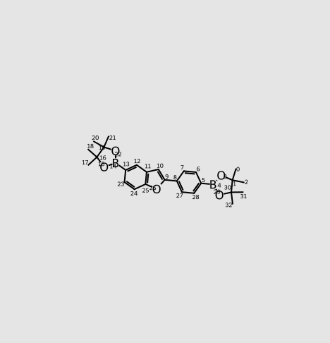 CC1(C)OB(c2ccc(-c3cc4cc(B5OC(C)(C)C(C)(C)O5)ccc4o3)cc2)OC1(C)C